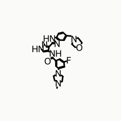 CN1CCN(c2cc(F)cc(C(=O)Nc3c[nH]nc3-c3nc4cc(CN5CCOCC5)ccc4[nH]3)c2)CC1